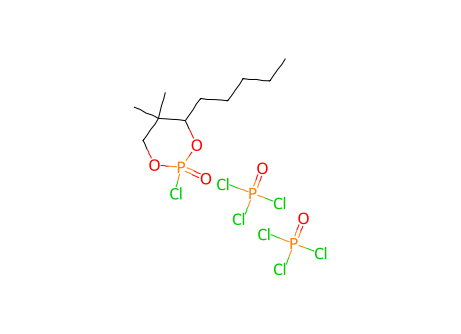 CCCCCC1OP(=O)(Cl)OCC1(C)C.O=P(Cl)(Cl)Cl.O=P(Cl)(Cl)Cl